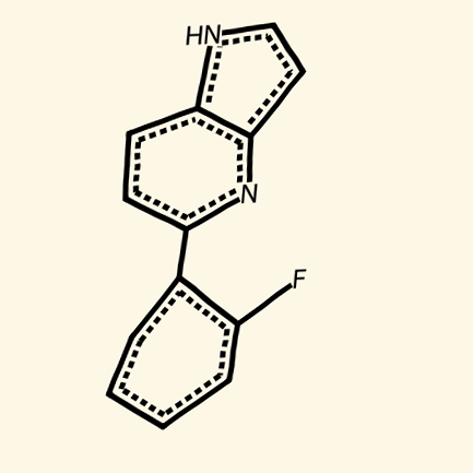 Fc1ccccc1-c1ccc2[nH]ccc2n1